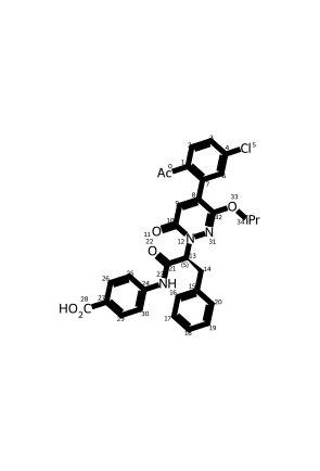 CC(=O)c1ccc(Cl)cc1-c1cc(=O)n([C@@H](Cc2ccccc2)C(=O)Nc2ccc(C(=O)O)cc2)nc1OC(C)C